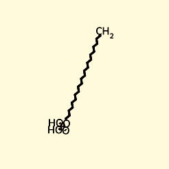 C=CCCCCCCCCCCCCCCCCCCCCCOP(=O)(O)O